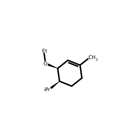 CCO[C@H]1C=C(C)CC[C@H]1C(C)C